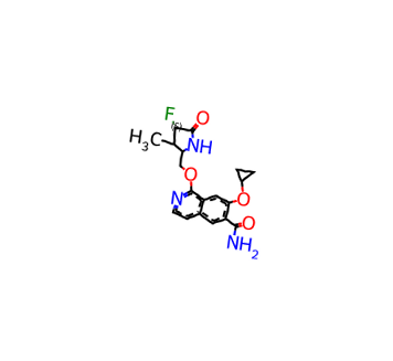 CC1C(COc2nccc3cc(C(N)=O)c(OC4CC4)cc23)NC(=O)[C@H]1F